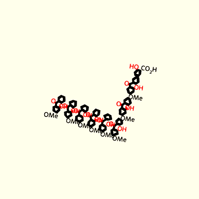 COc1ccc(C(=O)c2ccccc2)c(O)c1.COc1ccc(C(=O)c2ccccc2)c(O)c1.COc1ccc(C(=O)c2ccccc2)c(O)c1.COc1ccc(C(=O)c2ccccc2)c(O)c1.COc1ccc(C(=O)c2ccccc2)c(O)c1.COc1ccc(C(=O)c2ccccc2)c(O)c1.COc1ccc(C(=O)c2ccccc2)c(O)c1.COc1ccc(C(=O)c2ccccc2)c(O)c1.O=C(O)c1ccccc1O